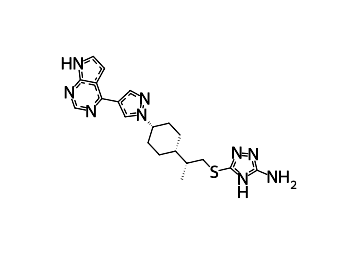 C[C@@H](CSc1nnc(N)[nH]1)[C@H]1CC[C@@H](n2cc(-c3ncnc4[nH]ccc34)cn2)CC1